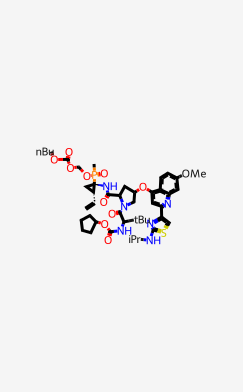 C=C[C@@H]1C[C@]1(NC(=O)C1CC(Oc2cc(-c3csc(NC(C)C)n3)nc3cc(OC)ccc23)CN1C(=O)C(NC(=O)OC1CCCC1)C(C)(C)C)P(C)(=O)OCOC(=O)OCCCC